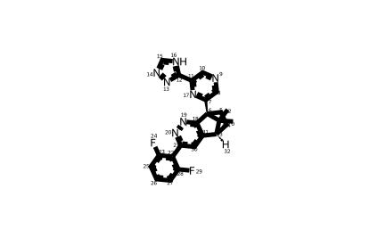 CC1(C)[C@H]2CC[C@@]1(c1cncc(-c3nnc[nH]3)n1)c1nnc(-c3c(F)cccc3F)cc12